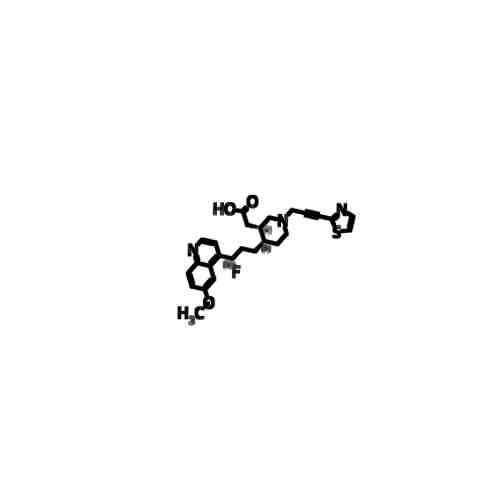 COc1ccc2nccc([C@@H](F)CC[C@@H]3CCN(CC#Cc4nccs4)C[C@@H]3CC(=O)O)c2c1